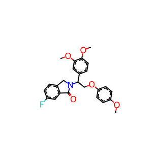 COc1ccc(OCC(c2ccc(OC)c(OC)c2)N2Cc3ccc(F)cc3C2=O)cc1